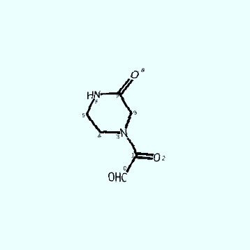 O=CC(=O)N1CCNC(=O)C1